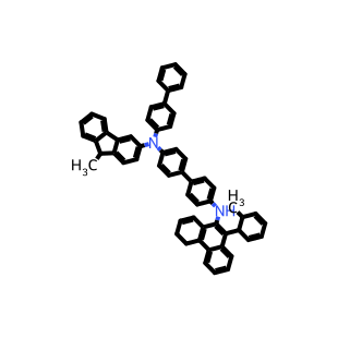 CC1c2ccccc2-c2cc(N(c3ccc(-c4ccccc4)cc3)c3ccc(-c4ccc(Nc5c6c(c7ccccc7c5C5C=CC=CC5C)CCC=C6)cc4)cc3)ccc21